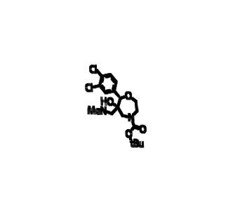 CNC[C@@]1(O)CN(C(=O)OC(C)(C)C)CCO[C@@H]1c1ccc(Cl)c(Cl)c1